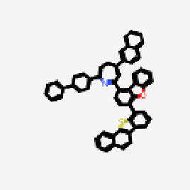 C1=C(c2ccc3ccccc3c2)CC=C(c2ccc(-c3ccccc3)cc2)N=C1c1ccc(-c2cccc3c2sc2c4ccccc4ccc32)c2oc3ccccc3c12